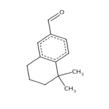 CC1(C)CCCc2cc(C=O)ccc21